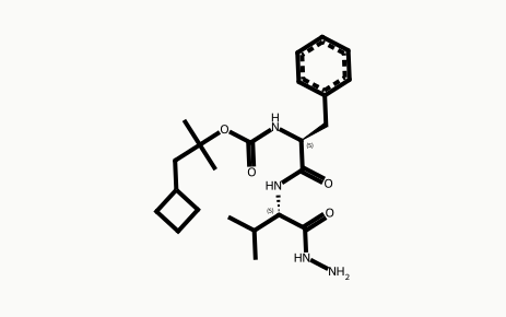 CC(C)[C@H](NC(=O)[C@H](Cc1ccccc1)NC(=O)OC(C)(C)CC1CCC1)C(=O)NN